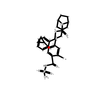 CS(=O)(=O)NC(=O)c1cc(C2CC2)c(OCC2CC3CCC(C2)N3C(=O)OCc2ccccc2)cc1F